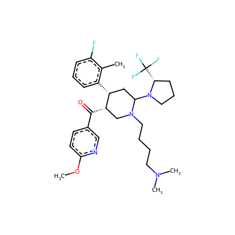 COc1ccc(C(=O)[C@H]2CN(CCCCN(C)C)C(N3CCC[C@H]3C(F)(F)F)[CH][C@H]2c2cccc(F)c2C)cn1